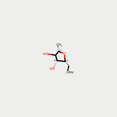 COC[C@H]1O[C@@H](C)C(O)[C@H]1O